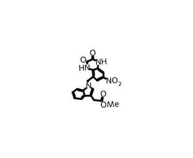 COC(=O)Cc1cn(Cc2cc([N+](=O)[O-])cc3[nH]c(=O)c(=O)[nH]c23)c2ccccc12